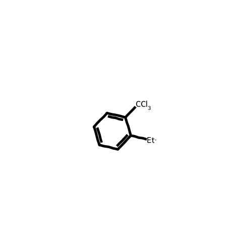 C[CH]c1ccccc1C(Cl)(Cl)Cl